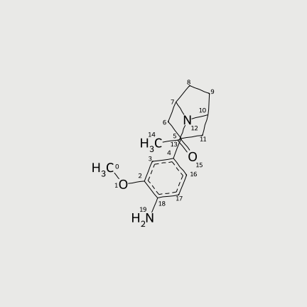 COc1cc(C2CC3CCC(C2)N3C(C)=O)ccc1N